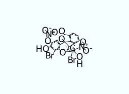 O=C1OC2(c3ccccc31)c1cc(O[N+](=O)[O-])c(O)c(Br)c1Oc1c2cc([N+](=O)[O-])c(O)c1Br